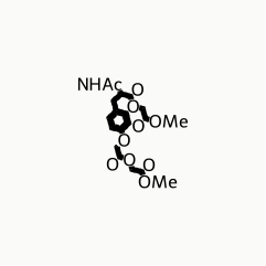 COC(=O)COC(=O)COc1ccc(CC(NC(C)=O)C(=O)OCC(=O)OC)cc1